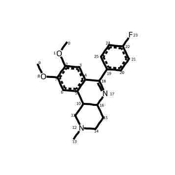 COc1cc2c(cc1OC)C1CN(C)CCC1N=C2c1ccc(F)cc1